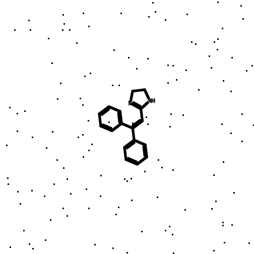 C(=C(c1ccccc1)c1ccccc1)C1=NCCN1